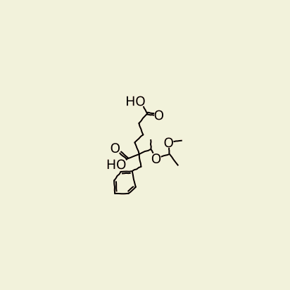 COC(C)OC(C)C(CCCC(=O)O)(Cc1ccccc1)C(=O)O